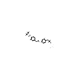 CC(C)(CO[Si](C)(C)C(C)(C)C)Cc1ccc(NC(=O)Cc2ccc(B3OC(C)(C)C(C)(C)O3)c(F)c2)cc1C(F)(F)F